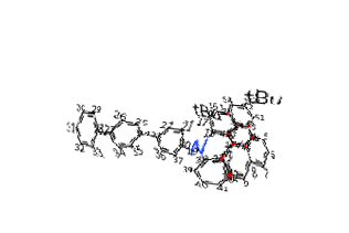 CC(C)(C)c1cc(-c2cccc3cccc(-c4ccccc4N(c4ccc(-c5ccc(-c6ccccc6)cc5)cc4)c4ccccc4-c4ccccc4)c23)cc(C(C)(C)C)c1